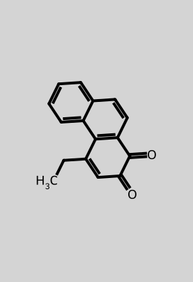 CCC1=CC(=O)C(=O)c2ccc3ccccc3c21